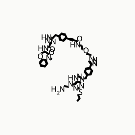 CCCSc1nc(NCCN)c2nnn(Cc3ccc(-c4cn(CCOCCNC(=O)C#Cc5ccc(Cc6nc(C(=O)N[C@H]7COc8ccccc8N(C)C7=O)n[nH]6)cc5)nn4)cc3)c2n1